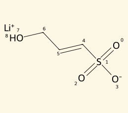 O=S(=O)([O-])C=CCO.[Li+]